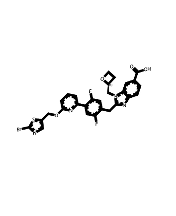 O=C(O)c1ccc2nc(Cc3cc(F)c(-c4cccc(OCc5cnc(Br)s5)n4)cc3F)n(C[C@@H]3CCO3)c2c1